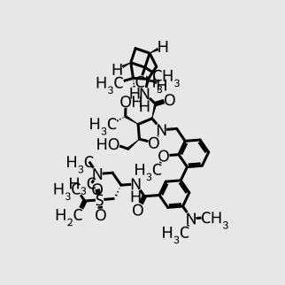 C=C(C)S(=O)(=O)C[C@H](CN(C)C)NC(=O)c1cc(-c2cccc(CN3O[C@@H](CO)[C@@H]([C@H](C)O)[C@H]3C(=O)N[C@H]3C[C@H]4C[C@@H]([C@@H]3C)C4(C)C)c2OC)cc(N(C)C)c1